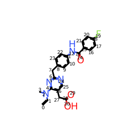 C=CN(C)c1nc(Cc2ccc(NC(=O)c3ccc(F)cc3)cc2)ncc1CC(=O)O